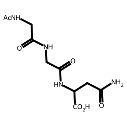 CC(=O)NCC(=O)NCC(=O)NC(CC(N)=O)C(=O)O